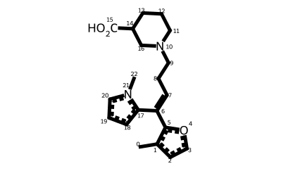 Cc1ccoc1C(=CCCN1CCCC(C(=O)O)C1)c1cccn1C